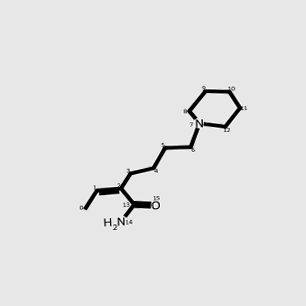 CC=C(CCCCN1CCCCC1)C(N)=O